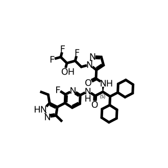 CCc1[nH]nc(C)c1-c1ccc(NC(=O)[C@@H](NC(=O)c2ccnn2CC(F)C(O)C(F)F)C(C2CCCCC2)C2CCCCC2)nc1F